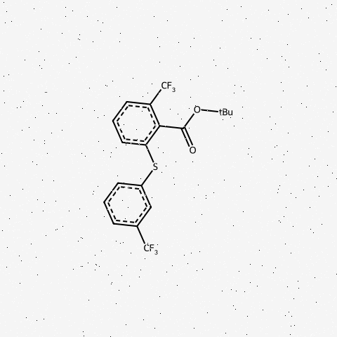 CC(C)(C)OC(=O)c1c(Sc2cccc(C(F)(F)F)c2)cccc1C(F)(F)F